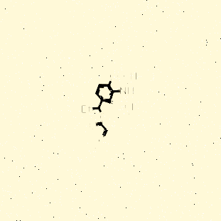 C=CC(=O)OC(CC)c1ccc(C(=O)O)c(N)c1C(=O)O